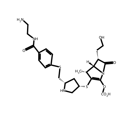 C[C@H]1C(S[C@@H]2CN[C@H](CSc3ccc(C(=O)NCCN)cc3)C2)=C(OC(=O)O)N2C(=O)[C@@H](CCO)[C@@H]12